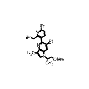 CCc1cc2c(nc1-c1ccc(C(C)C)nc1CC(C)C)c(C)cn2[C@@H](C)COC